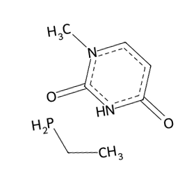 CCP.Cn1ccc(=O)[nH]c1=O